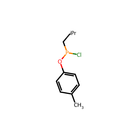 Cc1ccc(OP(Cl)CC(C)C)cc1